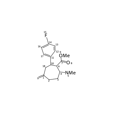 C=C1CCC(NC)C(C(=O)OC)C(c2ccc(F)cc2)C1